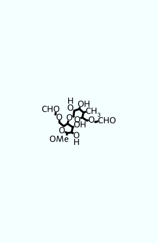 COC1OC(COCC=O)C(OC2OC(COCC=O)C(C)C(O)C2O)C(O)C1O